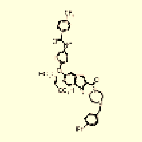 CC(C)c1ccc(CN2CCN(C(=O)c3cc4cc(Oc5ccc(N(C)C(=O)c6ccc(C(F)(F)F)cc6)cn5)ccc4n3C)CC2)cc1.O=C(O)C=CC(=O)O